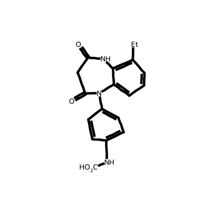 CCc1cccc2c1NC(=O)CC(=O)N2c1ccc(NC(=O)O)cc1